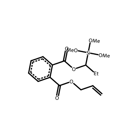 C=CCOC(=O)c1ccccc1C(=O)OC(CC)[Si](OC)(OC)OC